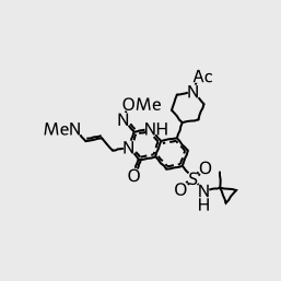 CN/C=C/Cn1c(=O)c2cc(S(=O)(=O)NC3(C)CC3)cc(C3CCN(C(C)=O)CC3)c2[nH]/c1=N\OC